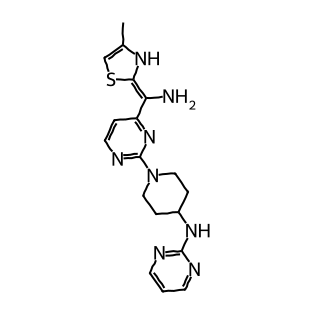 CC1=CS/C(=C(/N)c2ccnc(N3CCC(Nc4ncccn4)CC3)n2)N1